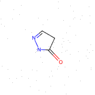 O=C1CC=N[N]1